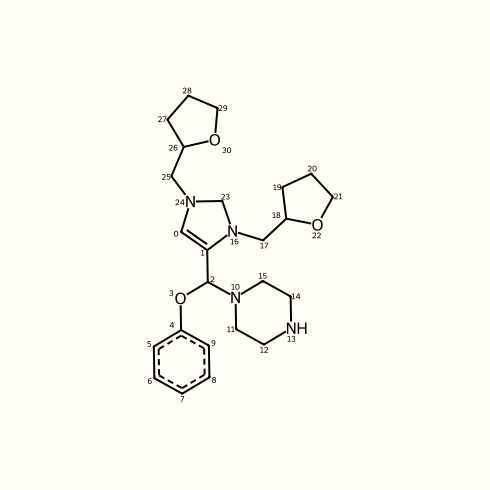 C1=C(C(Oc2ccccc2)N2CCNCC2)N(CC2CCCO2)CN1CC1CCCO1